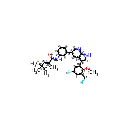 COc1c(CF)cc(F)cc1-c1c[nH]c2ncc(-c3cccc(NC(=O)/C(C)=C/C(C)(C)C)c3)cc12